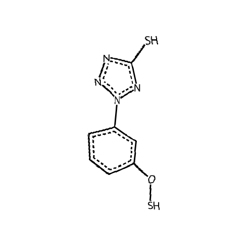 SOc1cccc(-n2nnc(S)n2)c1